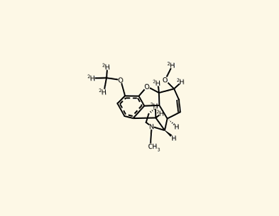 [2H]OC1([2H])C=C[C@H]2[C@@H]3N(C)CC[C@@]24c2c(ccc(OC([2H])([2H])[2H])c2OC14[2H])C3([2H])[2H]